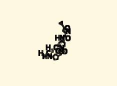 CNC1CCC(CS(=O)(=O)N2CC[C@H](NC(=O)c3cc(C4CC4)on3)C[C@@H]2C)C1